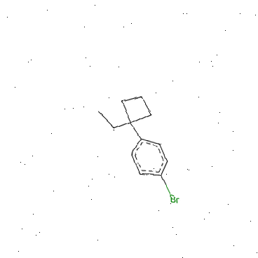 C[CH]C1(c2ccc(Br)cc2)CCC1